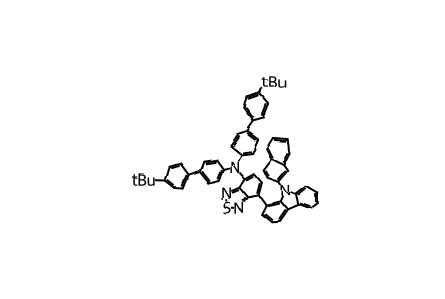 CC(C)(C)c1ccc(-c2ccc(N(c3ccc(-c4ccc(C(C)(C)C)cc4)cc3)c3ccc(-c4cccc5c6ccccc6n(-c6ccc7ccccc7c6)c45)c4nsnc34)cc2)cc1